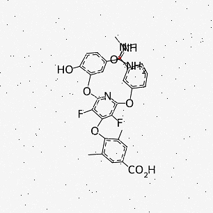 Cc1cc(C(=O)O)cc(C)c1Oc1c(F)c(Oc2cccc(C(=O)N(C)C)c2)nc(Oc2cc(C(=N)N)ccc2O)c1F